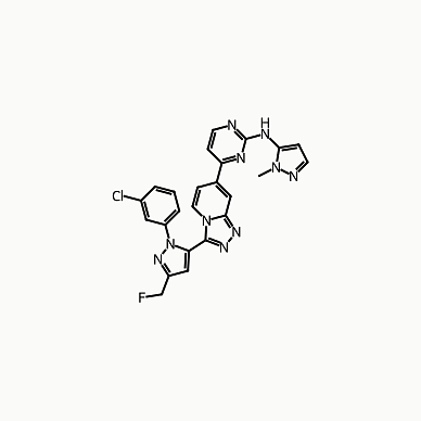 Cn1nccc1Nc1nccc(-c2ccn3c(-c4cc(CF)nn4-c4cccc(Cl)c4)nnc3c2)n1